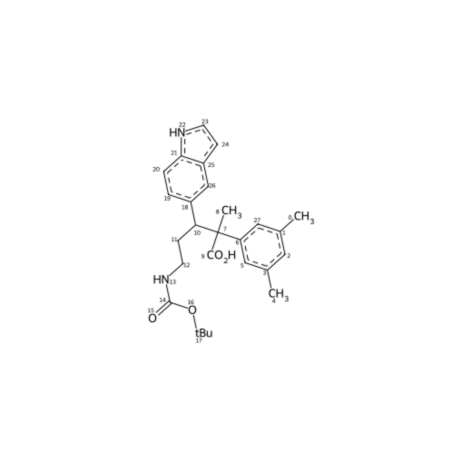 Cc1cc(C)cc(C(C)(C(=O)O)C(CCNC(=O)OC(C)(C)C)c2ccc3[nH]ccc3c2)c1